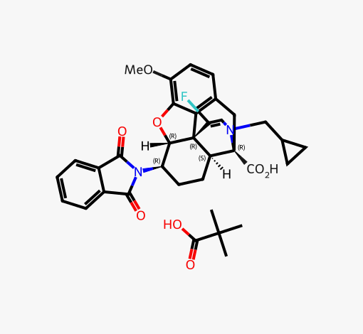 CC(C)(C)C(=O)O.COc1ccc2c3c1O[C@H]1[C@H](N4C(=O)c5ccccc5C4=O)CC[C@H]4[C@@]31C(F)=CN(CC1CC1)[C@]4(C(=O)O)C2